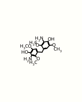 COc1cc(Cc2cc(OC)c(O)c(N)c2OC)c(OC)c(N)c1O